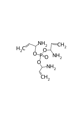 C=CC(N)OP(=O)(OC(N)C=C)OC(N)C=C